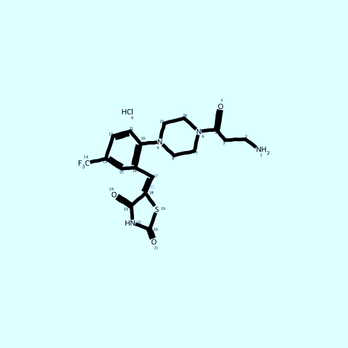 Cl.NCCC(=O)N1CCN(c2ccc(C(F)(F)F)cc2/C=C2/SC(=O)NC2=O)CC1